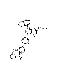 COc1cnc2c(-c3ccc(C4CCN(C(=O)[C@@H]5CCCN5C)CC4)nc3)nn(-c3cccc4c3CCC4)c2c1